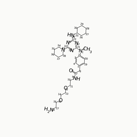 CN(c1ccc(CC(=O)NCCOCCOCCN)cc1)c1nc(NC2CCCCC2)nc(N2CCCCC2)n1